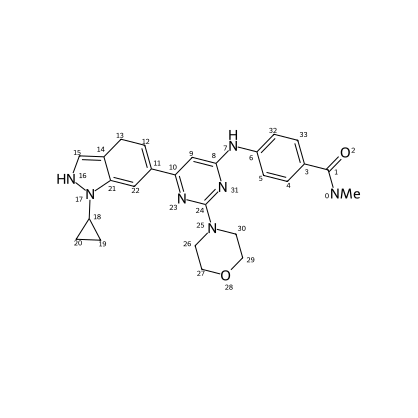 CNC(=O)c1ccc(Nc2cc(C3=CCC4=CNN(C5CC5)C4=C3)nc(N3CCOCC3)n2)cc1